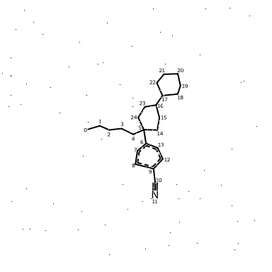 CCCCCC1(c2ccc(C#N)cc2)CCC(C2CCCCC2)CC1